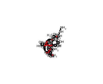 CN[C@H](CC(C)O)C(=O)N[C@H]1C(=O)N[C@@H](CC(N)=O)C(=O)N[C@H]2C(=O)N[C@H]3C(=O)N[C@H](C(=O)N[C@H](C(=O)OCC(=O)NCCCNCCCN)c4cc(O)cc(O)c4-c4cc3ccc4O)[C@H](O[C@H]3C[C@](C)(N)[C@@H](O)[C@H](C)O3)c3ccc(c(Cl)c3)Oc3cc2cc(c3O[C@@H]2O[C@H](CO)[C@@H](O)[C@H](O)[C@H]2O[C@H]2C[C@](C)(NCc3ccc(-c4ccc(Cl)cc4)cc3)[C@@H](O)[C@H](C)O2)Oc2ccc(cc2Cl)[C@H]1O